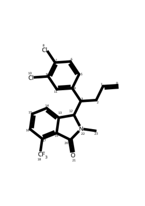 C=CCC(c1ccc(Cl)c(Cl)c1)C1c2cccc(C(F)(F)F)c2C(=O)N1C